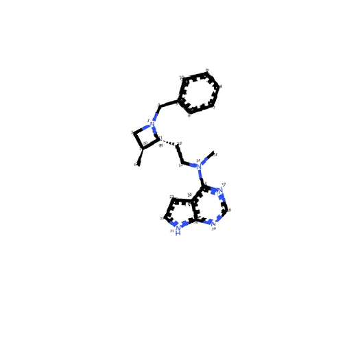 C[C@H]1CN(Cc2ccccc2)[C@@H]1CCN(C)c1ncnc2[nH]ccc12